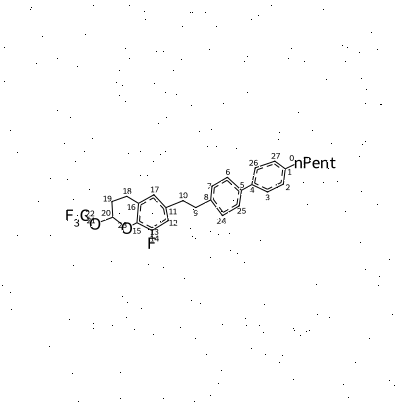 CCCCCc1ccc(-c2ccc(CCc3cc(F)c4c(c3)CCC(OC(F)(F)F)O4)cc2)cc1